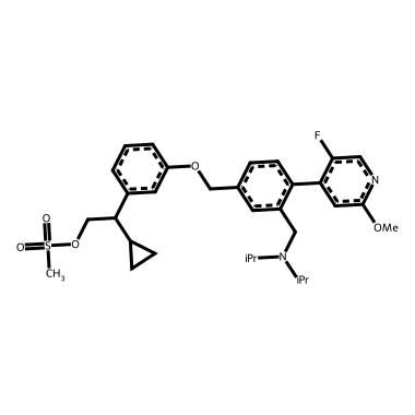 COc1cc(-c2ccc(COc3cccc(C(COS(C)(=O)=O)C4CC4)c3)cc2CN(C(C)C)C(C)C)c(F)cn1